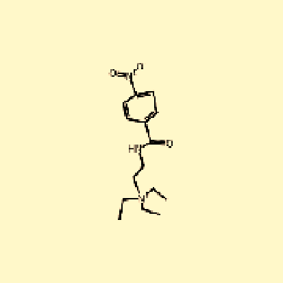 CC[N+](CC)(CC)CCNC(=O)c1ccc([N+](=O)[O-])cc1